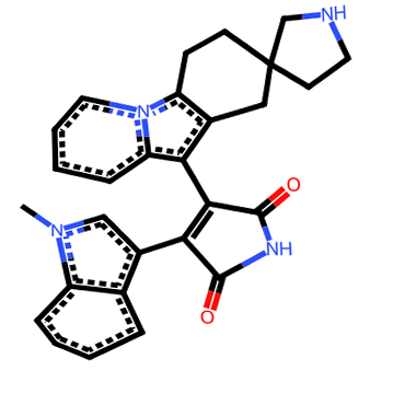 Cn1cc(C2=C(c3c4c(n5ccccc35)CCC3(CCNC3)C4)C(=O)NC2=O)c2ccccc21